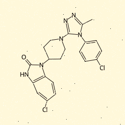 Cc1nnc(N2CCC(n3c(=O)[nH]c4cc(Cl)ccc43)CC2)n1-c1ccc(Cl)cc1